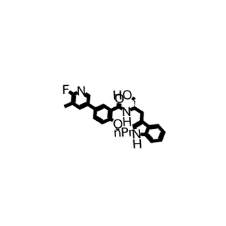 CCCOc1ccc(-c2cnc(F)c(C)c2)cc1C(=O)N[C@H](CO)Cc1c[nH]c2ccccc12